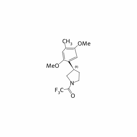 COc1cc([C@H]2CCN(C(=O)C(F)(F)F)C2)c(OC)cc1C